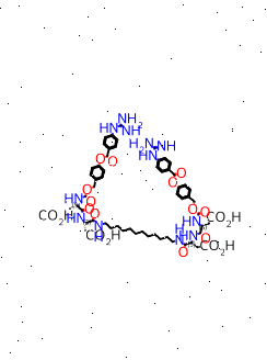 N=C(N)Nc1ccc(C(=O)Oc2ccc(COC(=O)N[C@@H](CC(=O)O)C(=O)N[C@@H](CC(=O)O)C(=O)NCCCCCCCCCCCCNC(=O)[C@H](CC(=O)O)NC(=O)[C@H](CC(=O)O)NC(=O)OCc3ccc(OC(=O)c4ccc(NC(=N)N)cc4)cc3)cc2)cc1